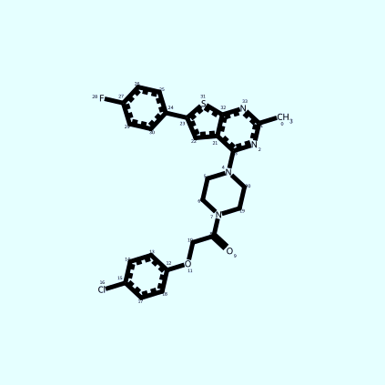 Cc1nc(N2CCN(C(=O)COc3ccc(Cl)cc3)CC2)c2cc(-c3ccc(F)cc3)sc2n1